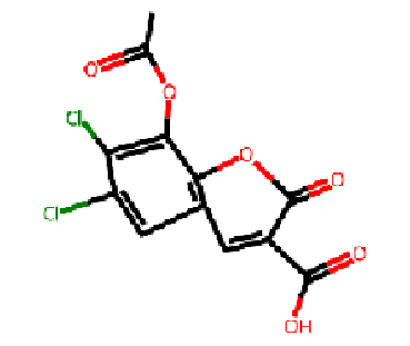 CC(=O)Oc1c(Cl)c(Cl)cc2cc(C(=O)O)c(=O)oc12